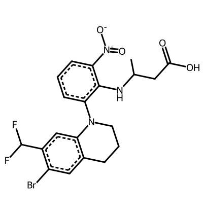 CC(CC(=O)O)Nc1c(N2CCCc3cc(Br)c(C(F)F)cc32)cccc1[N+](=O)[O-]